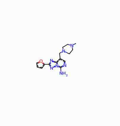 CN1CCN(Cc2cnc(N)n3nc(-c4ccco4)nc23)CC1